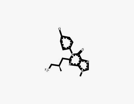 C[C@H](Cc1nc2c(ncn2C)c(=O)n1-c1ccc(Cl)cc1)CC(F)(F)F